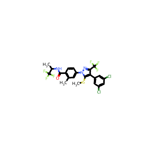 CSc1c(-c2cc(Cl)cc(Cl)c2)c(C(F)(F)F)nn1-c1ccc(C(=O)NC(C)C(F)(F)F)c(C)c1